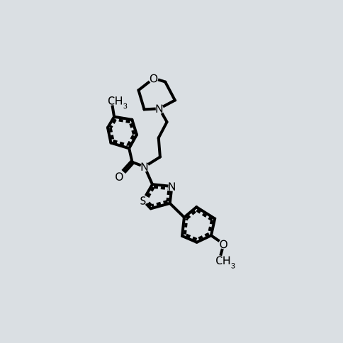 COc1ccc(-c2csc(N(CCCN3CCOCC3)C(=O)c3ccc(C)cc3)n2)cc1